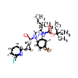 CC[C@H](C)[C@@H](CN(C(=O)[C@@H]1C[C@H]1c1cccc(F)n1)c1ccc(Br)cc1)NC(=O)OC(C)(C)C